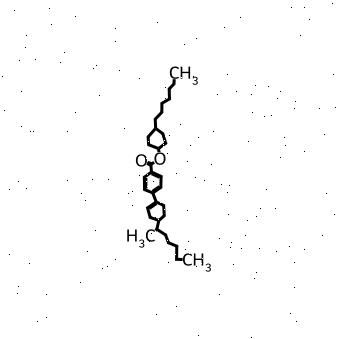 CCCCCCCC1CCC(OC(=O)c2ccc(C3=CCC(C(C)CCCCC)CC3)cc2)CC1